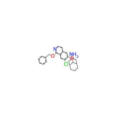 NC1CC2CCCC(C1)C2Oc1cc2ccnc(OCc3ccccc3)c2cc1Cl